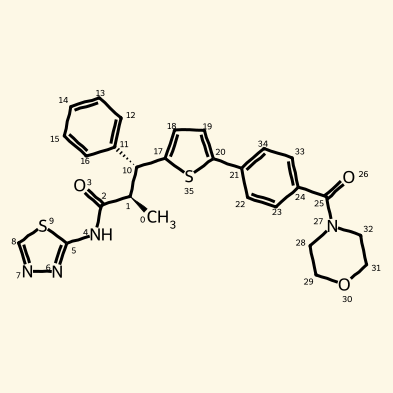 C[C@@H](C(=O)Nc1nncs1)[C@H](c1ccccc1)c1ccc(-c2ccc(C(=O)N3CCOCC3)cc2)s1